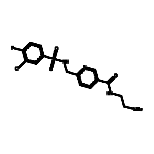 CNCCNC(=O)c1ccc(CNS(=O)(=O)c2ccc(F)c(Cl)c2)nc1